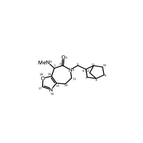 CNC1C(=O)N(CC2CC3CCC2C3)CCc2ncoc21